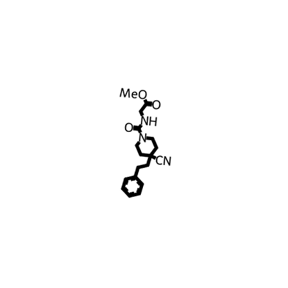 COC(=O)CNC(=O)N1CCC(C#N)(CCc2ccccc2)CC1